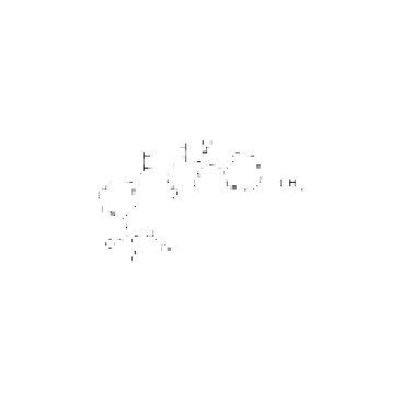 CCCOS(=O)(=O)c1cccc(NC(=O)NS(=O)(=O)c2ccc(C)cc2)c1